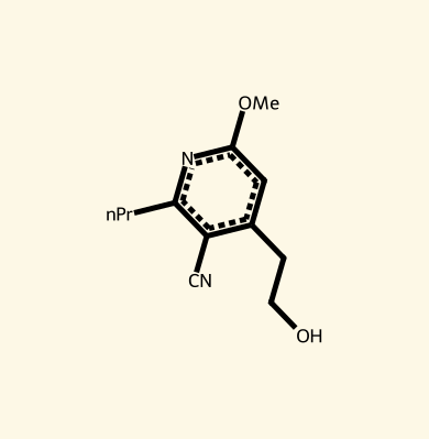 CCCc1nc(OC)cc(CCO)c1C#N